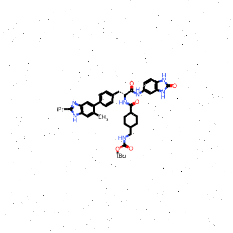 Cc1cc2[nH]c(C(C)C)nc2cc1-c1ccc(C[C@@H](NC(=O)C2CCC(CNC(=O)OC(C)(C)C)CC2)C(=O)Nc2ccc3[nH]c(=O)[nH]c3c2)cc1